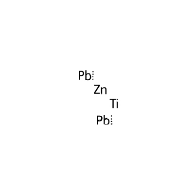 [Pb].[Pb].[Ti].[Zn]